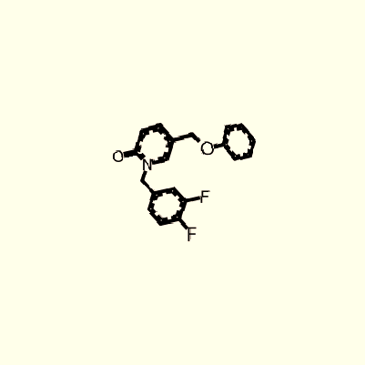 O=c1ccc(COc2ccccc2)cn1Cc1ccc(F)c(F)c1